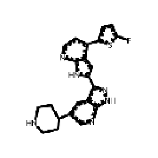 Fc1ccc(-c2ccnc3[nH]c(-c4n[nH]c5ncc(C6CCNCC6)cc45)cc23)s1